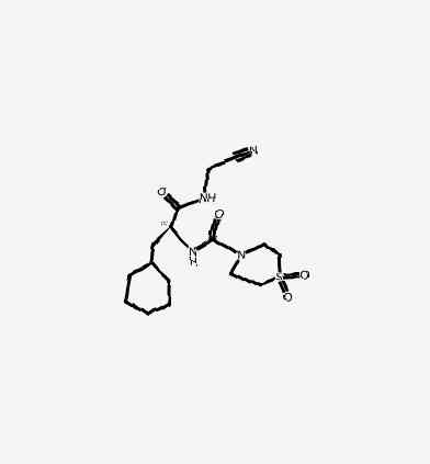 N#CCNC(=O)[C@H](CC1CCCCC1)NC(=O)N1CCS(=O)(=O)CC1